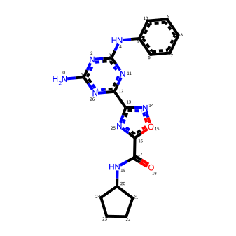 Nc1nc(Nc2ccccc2)nc(-c2noc(C(=O)NC3CCCC3)n2)n1